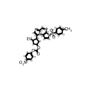 CCC1CC(OC(=O)Oc2ccc([N+](=O)[O-])cc2)CC1c1cnc2cnc3c(ccn3S(=O)(=O)c3ccc(C)cc3)n12